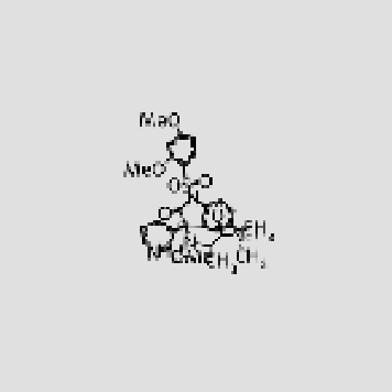 COc1ccc(S(=O)(=O)N2C(=O)[C@](c3cccnc3OC)(N(C)C(C)C(=O)N(C)C)c3cc(Cl)ccc32)c(OC)c1